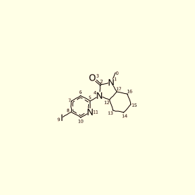 CN1C(=O)N(c2ccc(I)cn2)C2CCCCC21